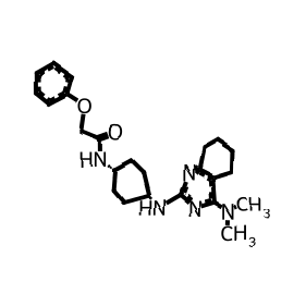 CN(C)c1nc(N[C@H]2CC[C@@H](NC(=O)COc3ccccc3)CC2)nc2c1CCCC2